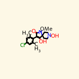 CON1C(=O)C(c2c(C)cc(Cl)cc2C)=C(O)C12CCN(O)CC2